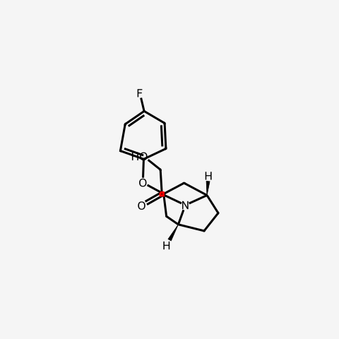 O=C(CO)N1[C@@H]2CC[C@H]1CC(Oc1ccc(F)cc1)C2